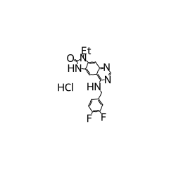 CCn1c(=O)[nH]c2cc3c(NCc4ccc(F)c(F)c4)ncnc3cc21.Cl